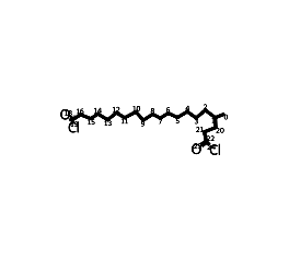 CC(CCCCCCCCCCCCCCCC(=O)Cl)CCC(=O)Cl